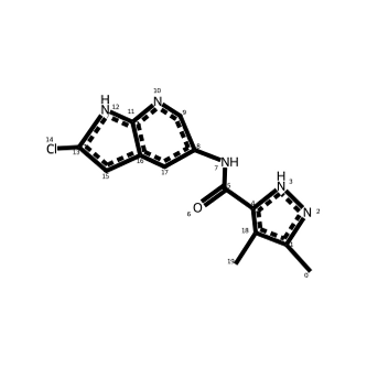 Cc1n[nH]c(C(=O)Nc2cnc3[nH]c(Cl)cc3c2)c1C